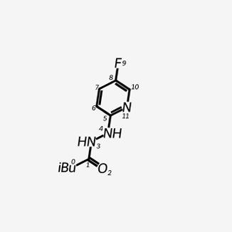 CCC(C)C(=O)NNc1ccc(F)cn1